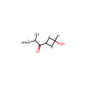 CCCCCCC(CC)C(=O)C1CC(C)(O)C1